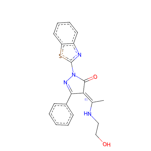 C/C(NCCO)=C1\C(=O)N(c2nc3ccccc3s2)N=C1c1ccccc1